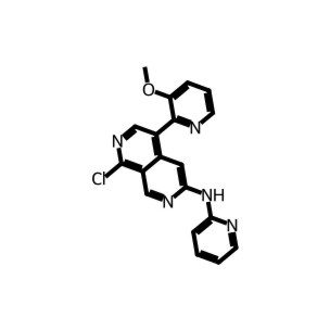 COc1cccnc1-c1cnc(Cl)c2cnc(Nc3ccccn3)cc12